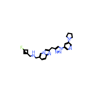 FC12CC(CNCc3ccc4nc(Cc5cn(-c6cncc(N7CCCC7)c6)nn5)cn4c3)(C1)C2